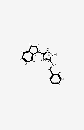 c1ccc(CSc2nc(C3CCc4ccccc43)n[nH]2)cc1